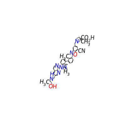 Cc1c(Nc2nccc3cc(CNC(C)CO)cnc23)cccc1-c1cccc(-c2nc3cc(CN4CC[C@@](C)(C(=O)O)C4)cc(C#N)c3o2)c1C